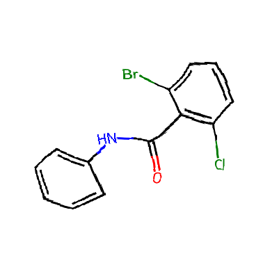 O=C(Nc1ccccc1)c1c(Cl)cccc1Br